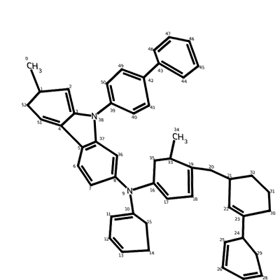 CC1C=c2c(c3ccc(N(C4=CC=CCC4)C4=CC=C(CC5C=C(C6C=CC=CC6)CCC5)C(C)C4)cc3n2-c2ccc(-c3ccccc3)cc2)=CC1